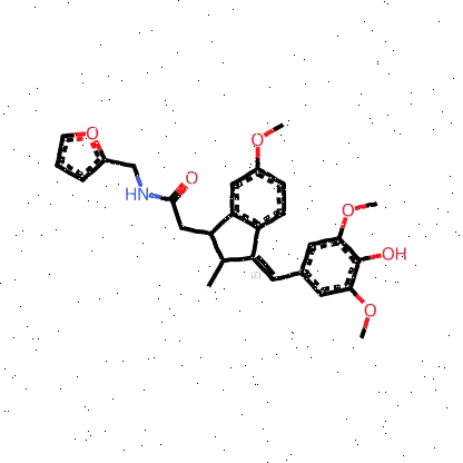 COc1ccc2c(c1)C(CC(=O)NCc1ccco1)C(C)/C2=C/c1cc(OC)c(O)c(OC)c1